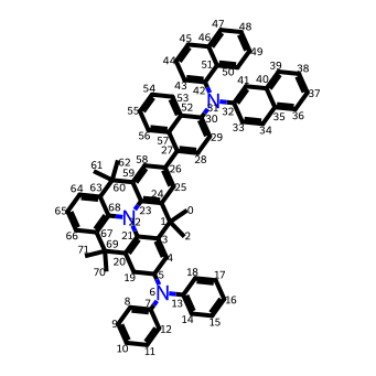 CC1(C)C2=CC(N(c3ccccc3)c3ccccc3)CC3=C2N2c4c1cc(-c1ccc(N(c5ccc6ccccc6c5)c5cccc6ccccc56)c5ccccc15)cc4C(C)(C)c1cccc(c12)C3(C)C